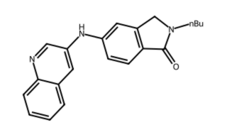 CCCCN1Cc2cc(Nc3cnc4ccccc4c3)ccc2C1=O